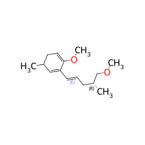 COC[C@H](C)C/C=C/C1=CC(C)CC=C1OC